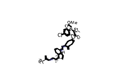 C=C1CC[C@H](OC(=O)[C@@H](CC)N(CC(=O)OC)c2ccc(Cl)cc2)C/C1=C/C=C1\CCC[C@]2(C)[C@@H]([C@H](C)/C=C/[C@@H](C)C(C)C)CC[C@@H]12